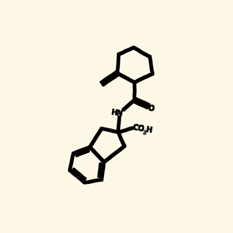 C=C1CCCCC1C(=O)NC1(C(=O)O)Cc2ccccc2C1